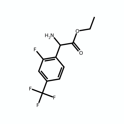 CCOC(=O)C(N)c1ccc(C(F)(F)F)cc1F